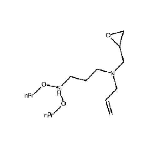 C=CCN(CCC[SiH](OCCC)OCCC)CC1CO1